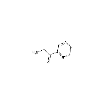 NCC(=O)c1cnccn1